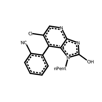 CCCCCn1c(O)nc2ncc(Cl)c(-c3ccccc3C#N)c21